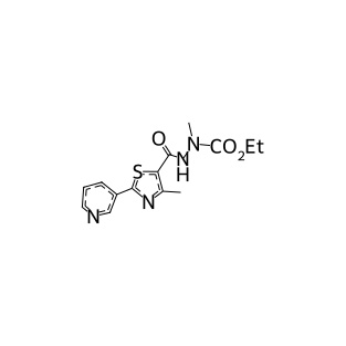 CCOC(=O)N(C)NC(=O)c1sc(-c2cccnc2)nc1C